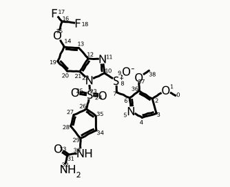 COc1ccnc(C[S+]([O-])c2nc3cc(OC(F)F)ccc3n2S(=O)(=O)c2ccc(NC(N)=O)cc2)c1OC